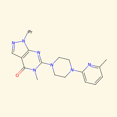 Cc1cccc(N2CCN(c3nc4c(cnn4C(C)C)c(=O)n3C)CC2)n1